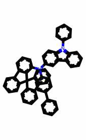 c1ccc(-c2ccc(N(c3ccc4c(c3)c3ccccc3n4-c3ccccc3)c3cccc4c3C3(c5ccccc5-c5ccccc53)c3ccccc3-4)cc2)cc1